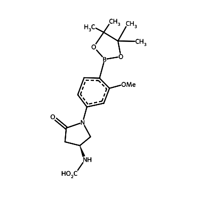 COc1cc(N2C[C@@H](NC(=O)O)CC2=O)ccc1B1OC(C)(C)C(C)(C)O1